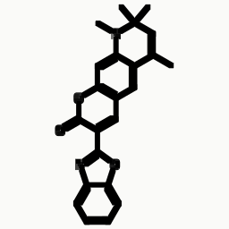 CC1=CC(C)(C)N(C)c2cc3oc(=O)c(-c4nc5ccccc5o4)cc3cc21